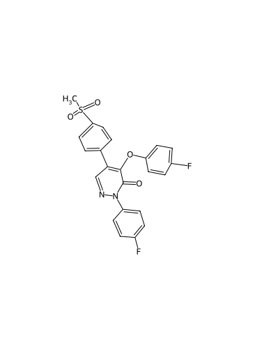 CS(=O)(=O)c1ccc(-c2cnn(-c3ccc(F)cc3)c(=O)c2Oc2ccc(F)cc2)cc1